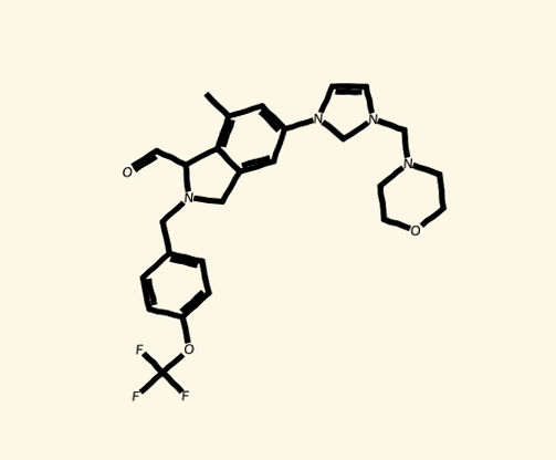 Cc1cc(N2C=CN(CN3CCOCC3)C2)cc2c1C(C=O)N(Cc1ccc(OC(F)(F)F)cc1)C2